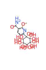 COc1nc(C2(O)C(O)(O)C(O)(O)C(O)(O)C(O)(O)C2(O)O)ccc1C(N)=O